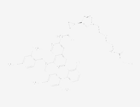 COc1ccc(CN(Cc2ccc(OC)cc2OC)c2nc(-c3c(Cl)cccc3Cl)cc3cc(NC(=O)[C@@H]4C[C@H]4c4cnn(CCOCCNC(=O)OC(C)(C)C)c4)ncc23)c(OC)c1